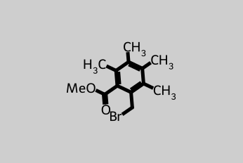 COC(=O)c1c(C)c(C)c(C)c(C)c1CBr